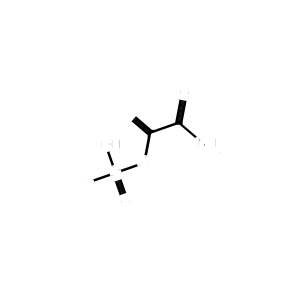 NC(=O)C(=O)OP(=O)(O)O